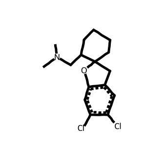 CN(C)CC1CCCCC12Cc1cc(Cl)c(Cl)cc1O2